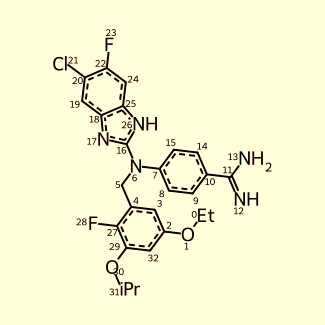 CCOc1cc(CN(c2ccc(C(=N)N)cc2)c2nc3cc(Cl)c(F)cc3[nH]2)c(F)c(OC(C)C)c1